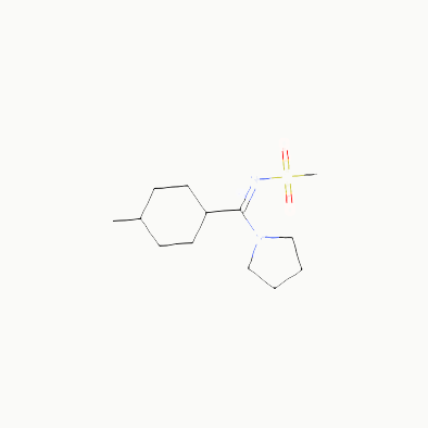 CC1CCC(/C(=N/S(C)(=O)=O)N2CCCC2)CC1